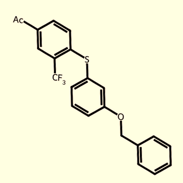 CC(=O)c1ccc(Sc2cccc(OCc3ccccc3)c2)c(C(F)(F)F)c1